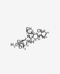 CSc1nc2c(c(Nc3ccc(C(C)(C)C)cc3)n1)CCN(c1ncccc1Cl)C2